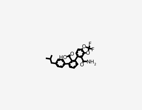 CC(C)Cc1ccc(-c2cccc(-c3ccc4c(c3C(N)=O)OC(F)(F)O4)c2C(=O)O)cc1